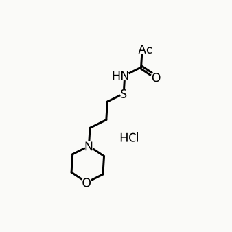 CC(=O)C(=O)NSCCCN1CCOCC1.Cl